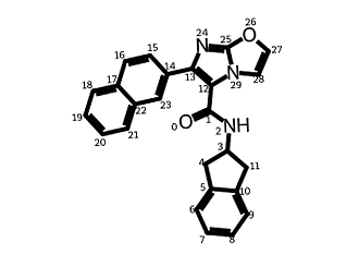 O=C(NC1Cc2ccccc2C1)c1c(-c2ccc3ccccc3c2)nc2occn12